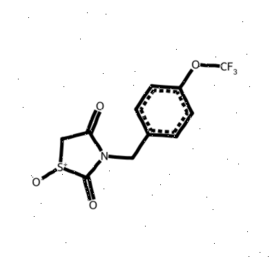 O=C1C[S+]([O-])C(=O)N1Cc1ccc(OC(F)(F)F)cc1